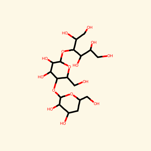 OCC1CC(O)C(O)C(OC2C(CO)OC(OC(C(O)CO)C(O)C(O)CO)C(O)C2O)O1